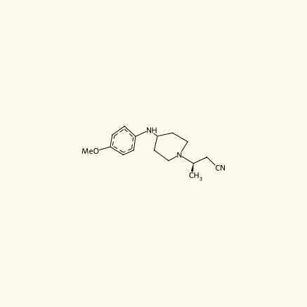 COc1ccc(NC2CCN([C@H](C)CC#N)CC2)cc1